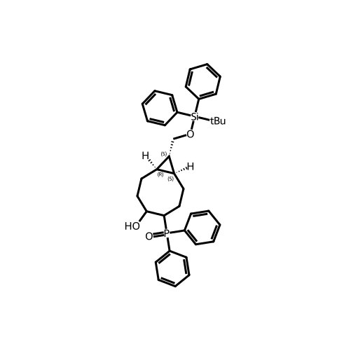 CC(C)(C)[Si](OC[C@H]1[C@@H]2CCC(O)C(P(=O)(c3ccccc3)c3ccccc3)CC[C@@H]21)(c1ccccc1)c1ccccc1